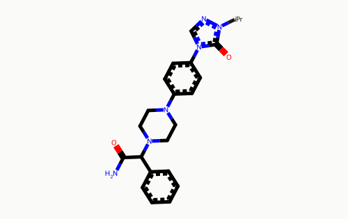 CC(C)n1ncn(-c2ccc(N3CCN(C(C(N)=O)c4ccccc4)CC3)cc2)c1=O